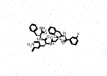 C=C/C=C(\C=C/N)C[C@H](NC(=O)CP(=O)(O)C(Cc1ccccc1)NC(=O)c1cccc(F)c1)C(=O)N[C@@H](Cc1ccccc1)C(N)=O